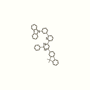 CC1(C)c2ccccc2-c2ccc(-c3cc(-c4cccc(-c5cccc(-n6c7ccccc7c7ccccc76)c5)n4)nc(-c4ccccc4)n3)cc21